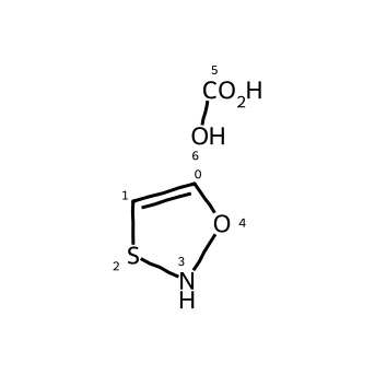 C1=CSNO1.O=C(O)O